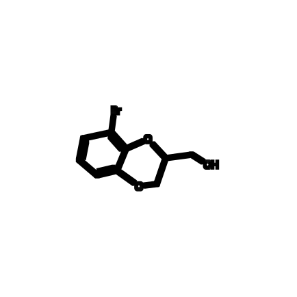 OCC1COc2cccc(Br)c2O1